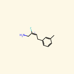 Cc1cccc(C/C=C(/F)CN)c1